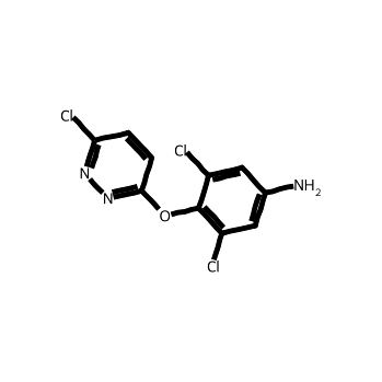 Nc1cc(Cl)c(Oc2ccc(Cl)nn2)c(Cl)c1